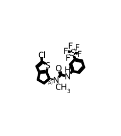 CN(C(=O)Nc1cccc(S(F)(F)(F)(F)F)c1)[C@H]1CCc2cc(Cl)sc21